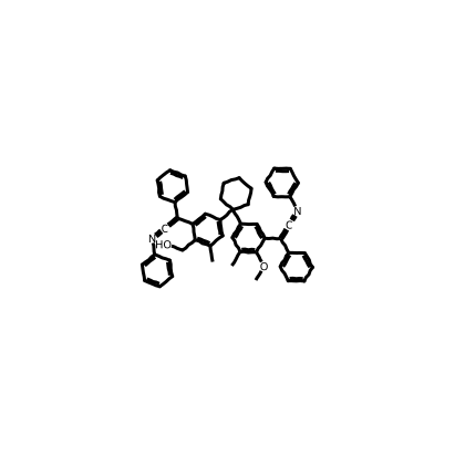 COc1c(C)cc(C2(c3cc(C)c(CO)c(C(=C=Nc4ccccc4)c4ccccc4)c3)CCCCC2)cc1C(=C=Nc1ccccc1)c1ccccc1